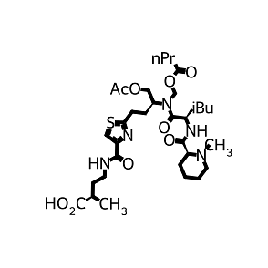 CCCC(=O)OCN(C(=O)[C@H](NC(=O)[C@@H]1CCCCN1C)C(C)CC)[C@@H](CCc1nc(C(=O)NCC[C@@H](C)C(=O)O)cs1)COC(C)=O